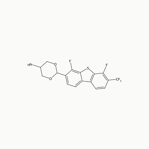 CCCC1COC(c2ccc3c(sc4c(F)c(C(F)(F)F)ccc43)c2F)OC1